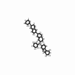 c1ccc(-c2ccc3cc(-c4ccc5ccc(N(c6ccccc6)c6ccc7c(c6)sc6ccccc67)cc5c4)ccc3c2)cc1